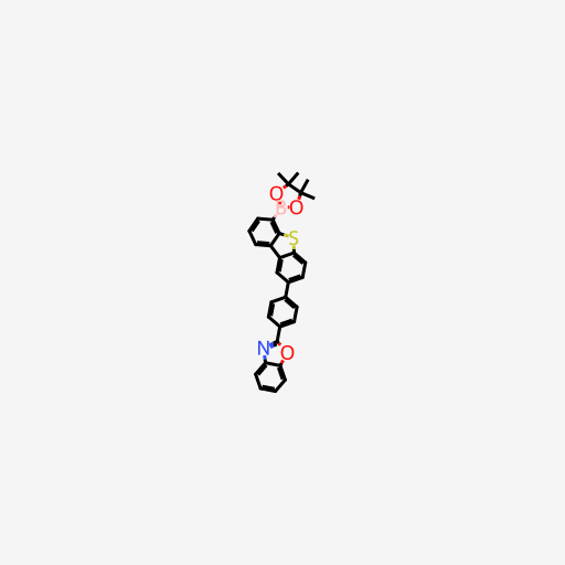 CC1(C)OB(c2cccc3c2sc2ccc(-c4ccc(-c5nc6ccccc6o5)cc4)cc23)OC1(C)C